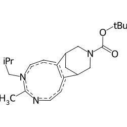 Cc1nccc2c(ccn1CC(C)C)C1CC2CN(C(=O)OC(C)(C)C)C1